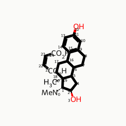 CN[C@H]1[C@H](O)CC2C3CCc4cc(O)ccc4C3CC[C@@]21C.O=C(O)/C=C\C(=O)O